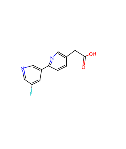 O=C(O)Cc1ccc(-c2cncc(F)c2)nc1